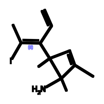 C=C/C(=C(\C)I)C1(C)C=C(C)C1(C)N